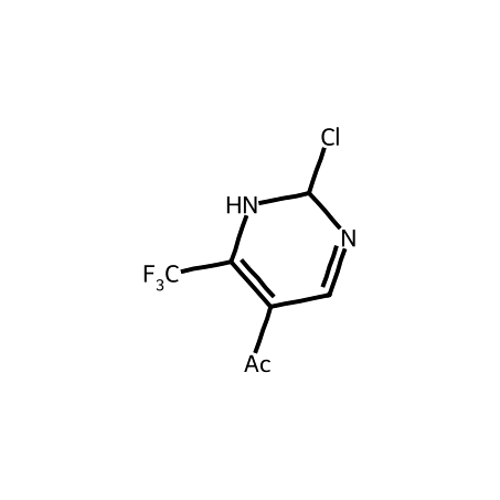 CC(=O)C1=C(C(F)(F)F)NC(Cl)N=C1